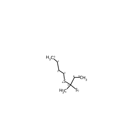 CCCCSC(C)([S])CC